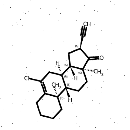 C#C[C@@H]1C[C@H]2[C@@H]3CC(Cl)=C4CCCC[C@]4(C)[C@H]3CC[C@]2(C)C1=O